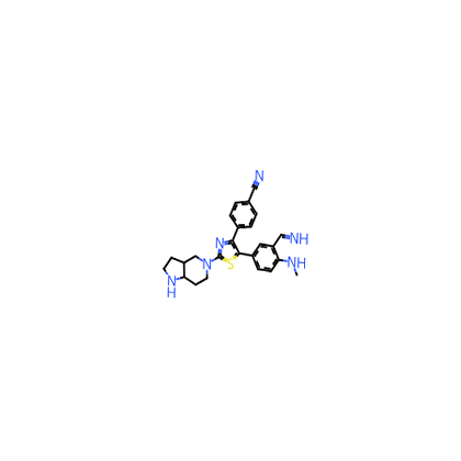 CNc1ccc(-c2sc(N3CCC4NCCC4C3)nc2-c2ccc(C#N)cc2)cc1C=N